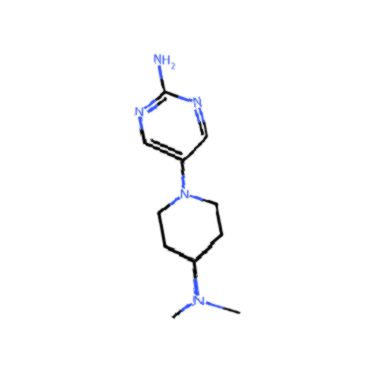 CN(C)C1CCN(c2cnc(N)nc2)CC1